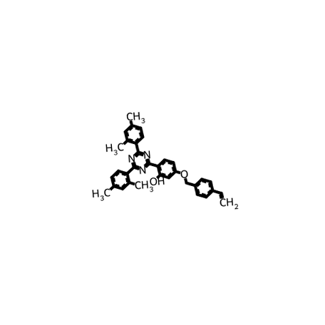 C=Cc1ccc(COc2ccc(-c3nc(-c4ccc(C)cc4C)nc(-c4ccc(C)cc4C)n3)c(O)c2)cc1